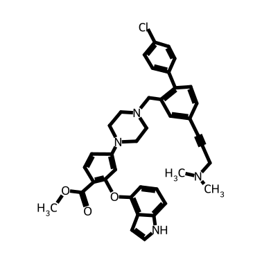 COC(=O)c1ccc(N2CCN(Cc3cc(C#CCN(C)C)ccc3-c3ccc(Cl)cc3)CC2)cc1Oc1cccc2[nH]ccc12